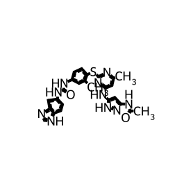 CC(=O)Nc1cc(Nc2cc(C)nc(Sc3ccc(NC(=O)Nc4ccc5[nH]cnc5c4)cc3C)n2)[nH]n1